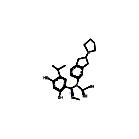 C/N=C(/c1cc(C(C)C)c(O)cc1O)N(C(=N)S)c1ccc2c(c1)CC(N1CCCC1)C2